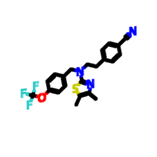 Cc1nc(N(CCc2ccc(C#N)cc2)Cc2ccc(OC(F)(F)F)cc2)sc1C